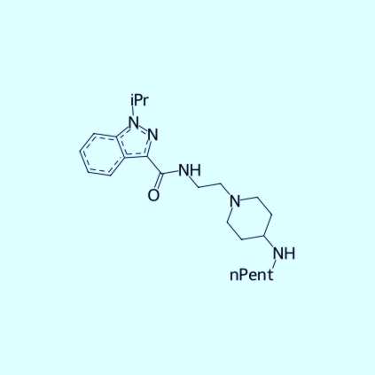 CCCCCNC1CCN(CCNC(=O)c2nn(C(C)C)c3ccccc23)CC1